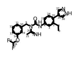 CCc1cc(NC(=O)N(Cc2cccc(OC(F)F)c2)C(C)=N)ccc1-c1cn[nH]c1